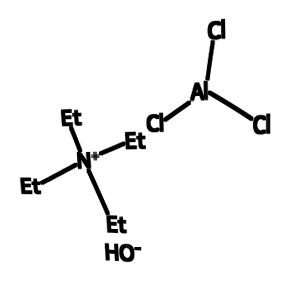 CC[N+](CC)(CC)CC.[Cl][Al]([Cl])[Cl].[OH-]